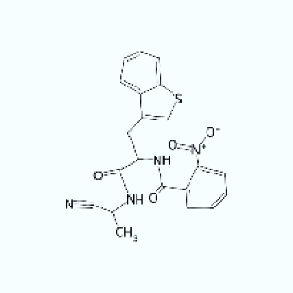 CC(C#N)NC(=O)C(Cc1csc2ccccc12)NC(=O)c1ccccc1[N+](=O)[O-]